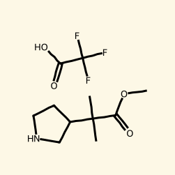 COC(=O)C(C)(C)C1CCNC1.O=C(O)C(F)(F)F